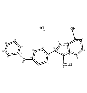 CCOC(=O)c1c2nccc(O)c2nn1-c1ccc(Oc2ccccc2)cc1.Cl